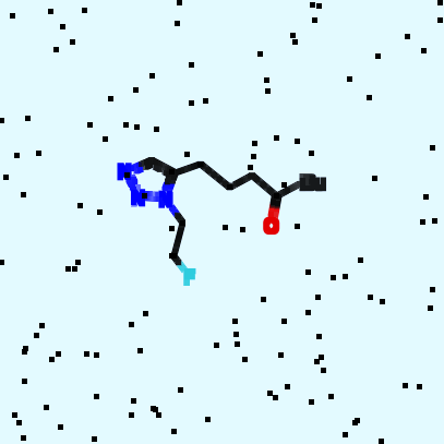 CCC(C)C(=O)CCCc1cnnn1CCF